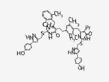 Cc1cccc(C)c1Cc1nc(SCc2cc(-c3ccc(O)cc3)[nH]n2)[nH]c(=O)c1CCc1cc(C)c(Cc2nc(SCc3cc(-c4ccc(O)cc4)[nH]n3)[nH]c(=O)c2C(C)C)c(C)c1